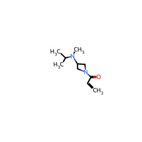 C=CC(=O)N1CC(N(C)C(C)C)C1